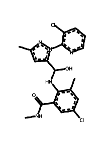 CNC(=O)c1cc(Cl)cc(C)c1NC(O)c1cc(C)nn1-c1ncccc1Cl